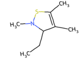 CCC1C(C)=C(C)SN1C